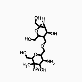 CCCC1(C)C(CO)OC(COCC2C(CO)OC3(CO)NC3C2O)C(N)C1O